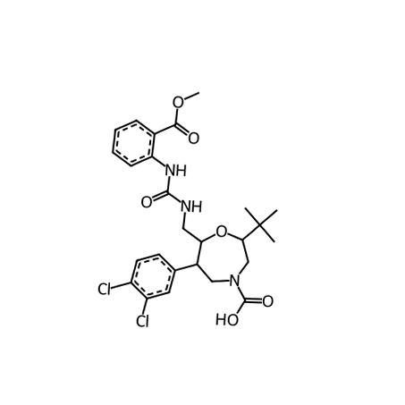 COC(=O)c1ccccc1NC(=O)NCC1OC(C(C)(C)C)CN(C(=O)O)CC1c1ccc(Cl)c(Cl)c1